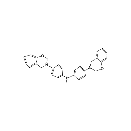 B(c1ccc(N2COc3ccccc3C2)cc1)c1ccc(N2COc3ccccc3C2)cc1